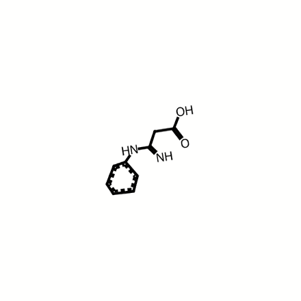 N=C(CC(=O)O)Nc1ccccc1